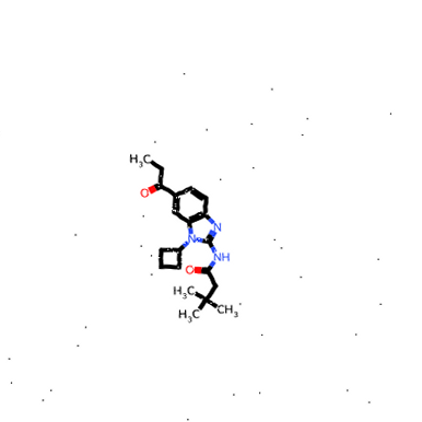 CCC(=O)c1ccc2nc(NC(=O)CC(C)(C)C)n(C3CCC3)c2c1